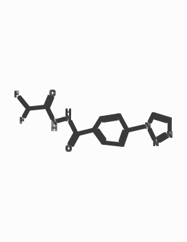 O=C(NNC(=O)C(F)F)c1ccc(-n2ccnn2)cc1